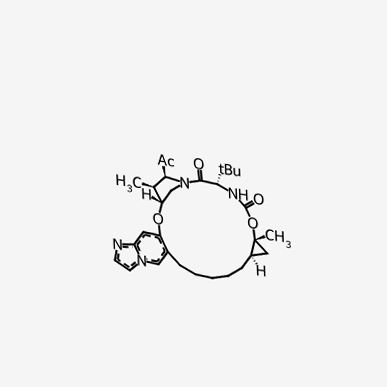 CC(=O)[C@@H]1[C@H](C)[C@@H]2CN1C(=O)[C@H](C(C)(C)C)NC(=O)O[C@]1(C)C[C@H]1CCCCCc1cn3ccnc3cc1O2